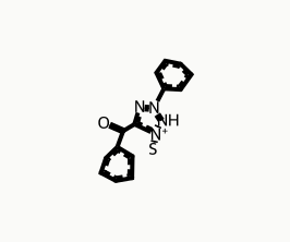 O=C(c1ccccc1)c1nn(-c2ccccc2)[nH][n+]1=S